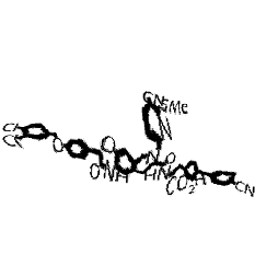 CSc1nc(CN2Cc3cc4c(cc3CC2C(=O)NC(Cc2ccc(-c3ccc(C#N)cc3)cc2)C(=O)O)NC(=O)C(c2ccc(OCc3ccc(Cl)c(Cl)c3)cc2)O4)ccc1C#N